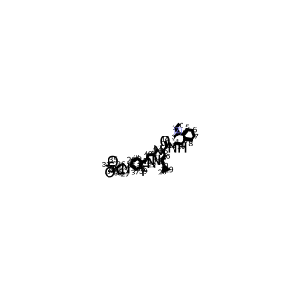 C/C=C(/C)c1ccccc1CCNC(=O)c1cc(C2CC2)n2nc(-c3ccc(N4CC[C@H](S(C)(=O)=O)C4)cc3F)cc2n1